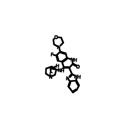 O=c1[nH]c2cc(N3CCOCC3)c(F)cc2c(N[C@@H]2CN3CCC2CC3)c1-c1nc2ccccc2[nH]1